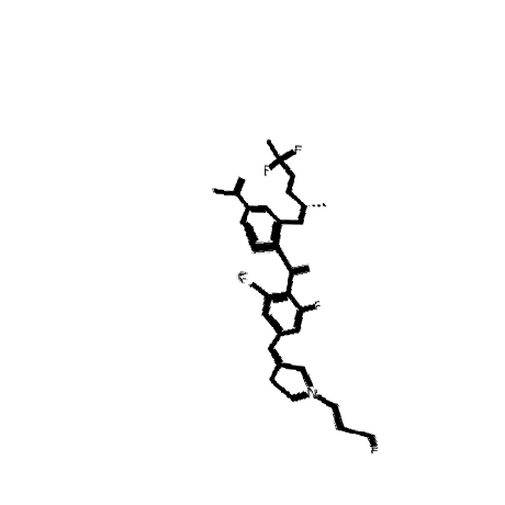 C=C(C)c1ccc(C(C)c2c(F)cc(/C=C3/CCN(CCCF)C3)cc2F)c(C[C@@H](C)CCC(C)(F)F)c1